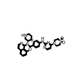 Cc1cccc2ccnc(N(C(=O)c3ccc(Nc4nccc(N5CCS(=O)(=O)CC5)n4)cc3F)[C@@H]3CCCNC3)c12